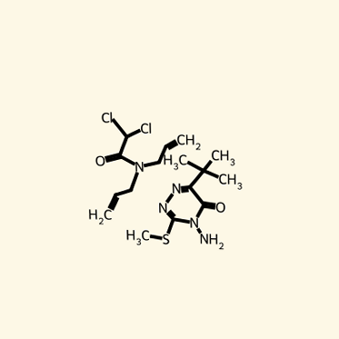 C=CCN(CC=C)C(=O)C(Cl)Cl.CSc1nnc(C(C)(C)C)c(=O)n1N